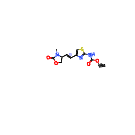 CN1C(=O)OCC1/C=C/c1csc(NC(=O)OC(C)(C)C)n1